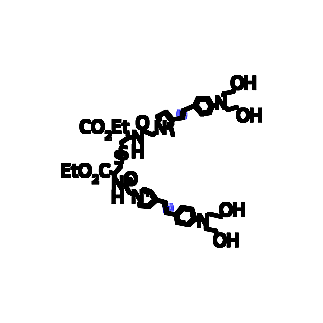 CCOC(=O)C(CSSCC(NC(=O)C[n+]1ccc(/C=C/c2ccc(N(CCO)CCO)cc2)cc1)C(=O)OCC)NC(=O)C[N+]1=CC=C(/C=C/c2ccc(N(CCO)CCO)cc2)C1C